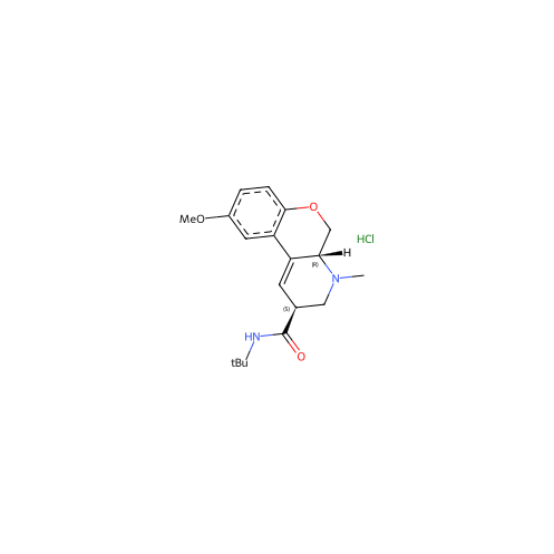 COc1ccc2c(c1)C1=C[C@H](C(=O)NC(C)(C)C)CN(C)[C@H]1CO2.Cl